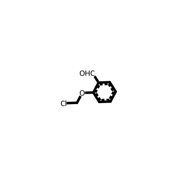 O=Cc1ccccc1OCCl